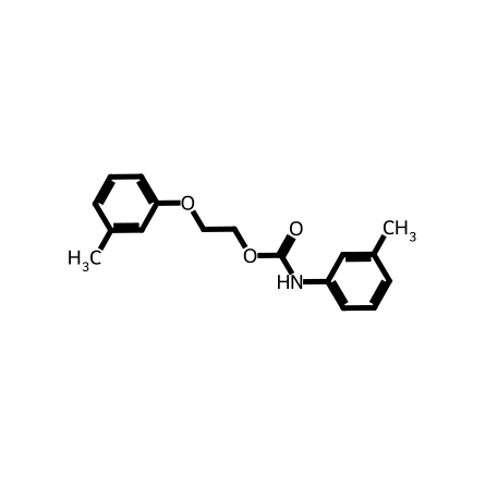 Cc1cccc(NC(=O)OCCOc2cccc(C)c2)c1